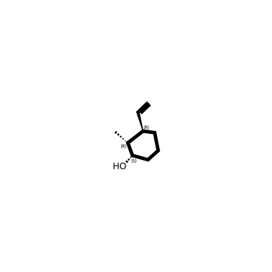 C=C[C@H]1CCC[C@H](O)[C@@H]1C